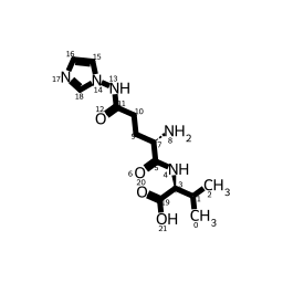 CC(C)[C@H](NC(=O)[C@@H](N)CCC(=O)Nn1ccnc1)C(=O)O